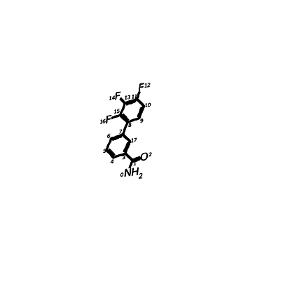 NC(=O)c1cccc(-c2ccc(F)c(F)c2F)c1